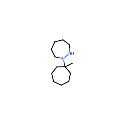 CC1(N2CCCCCN2)CCCCCC1